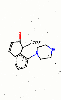 O=C(O)C1C(=O)[C]=Cc2cccc(N3CCNCC3)c21